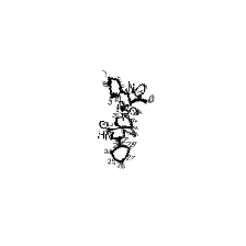 Cc1onc(-c2ccccc2)c1S(=O)(=O)N1CCC2(CC1)N=C(C1CCCCC1)NC2=O